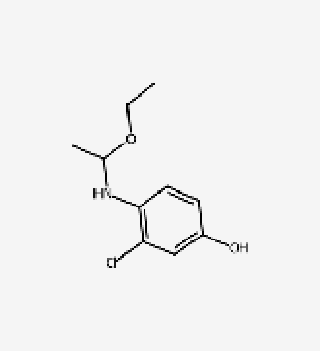 CCOC(C)Nc1ccc(O)cc1Cl